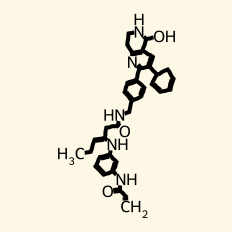 C=CC(=O)Nc1cccc(NC(=CCC)CC(=O)NCc2ccc(-c3nc4c(cc3C3C=CC=CC3)C(O)NCC4)cc2)c1